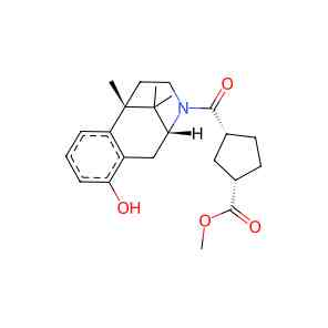 COC(=O)[C@H]1CC[C@@H](C(=O)N2CC[C@@]3(C)c4cccc(O)c4C[C@@H]2C3(C)C)C1